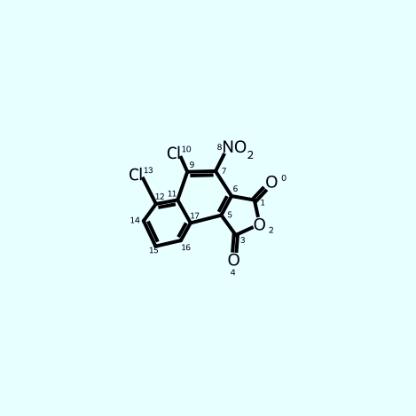 O=C1OC(=O)c2c1c([N+](=O)[O-])c(Cl)c1c(Cl)cccc21